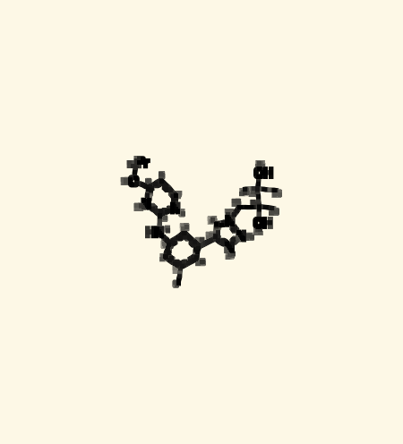 Cc1cc(Nc2nccc(OC(C)C)n2)cc(-c2cn(CC(C)(O)C(C)(C)O)nn2)c1